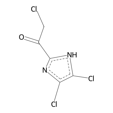 O=C(CCl)c1nc(Cl)c(Cl)[nH]1